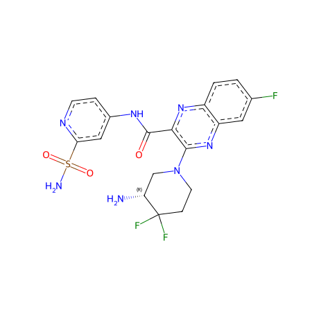 N[C@@H]1CN(c2nc3cc(F)ccc3nc2C(=O)Nc2ccnc(S(N)(=O)=O)c2)CCC1(F)F